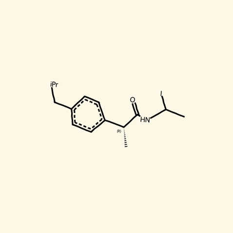 CC(C)Cc1ccc([C@@H](C)C(=O)NC(C)I)cc1